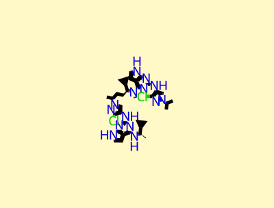 CC(C)n1cc(Nc2nc(N(C)[C@@H](CCC(C)n3cc(Nc4nc(N[C@@H](C)C5CC5)c5cc[nH]c5n4)c(Cl)n3)C3CC3)c3cc[nH]c3n2)c(Cl)n1